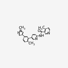 Cc1ccncc1C(=O)Nc1ccc(-c2cc(-c3cnn(C)c3)ccc2C)cn1